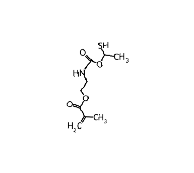 C=C(C)C(=O)OCCNC(=O)OC(C)S